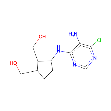 Nc1c(Cl)ncnc1NC1CCC(CO)C1CO